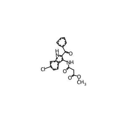 COC(=O)CC(=O)Nc1c(C(=O)c2ccccc2)[nH]c2cc(Cl)ccc12